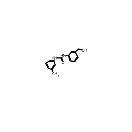 Cc1cccc(NC(=O)Nc2cccc(CO)c2)c1